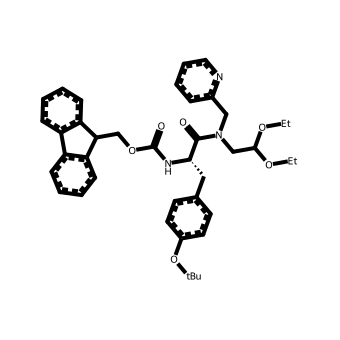 CCOC(CN(Cc1ccccn1)C(=O)[C@H](Cc1ccc(OC(C)(C)C)cc1)NC(=O)OCC1c2ccccc2-c2ccccc21)OCC